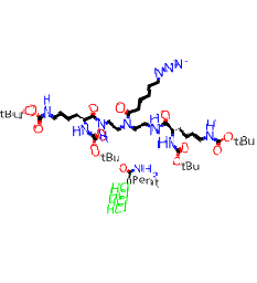 CC(C)(C)OC(=O)NCCCC[C@H](NC(=O)OC(C)(C)C)C(=O)NCCN(CCNC(=O)[C@H](CCCCNC(=O)OC(C)(C)C)NC(=O)OC(C)(C)C)C(=O)CCCCCN=[N+]=[N-].CCCCCC(N)=O.Cl.Cl.Cl.Cl